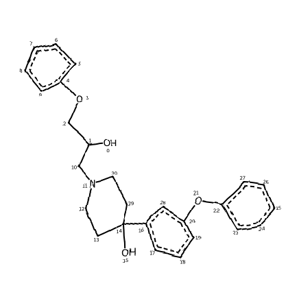 OC(COc1ccccc1)CN1CCC(O)(c2cccc(Oc3ccccc3)c2)CC1